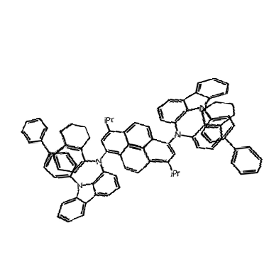 CC(C)c1cc(N(c2cccc3c2CCCC3)c2cccc3c4ccccc4n(-c4ccc(-c5ccccc5)cc4)c23)c2ccc3c(C(C)C)cc(N(c4cccc5c4CCCC5)c4cccc5c6ccccc6n(-c6ccc(-c7ccccc7)cc6)c45)c4ccc1c2c34